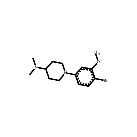 CN(C)C1CCN(c2ccc(Br)c(OC(F)(F)F)c2)CC1